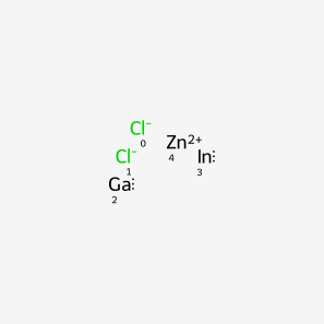 [Cl-].[Cl-].[Ga].[In].[Zn+2]